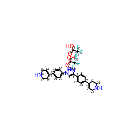 C1=C(c2ccc(-c3cn(-c4ccc(C5=CCNCC5)cc4)nn3)cc2)CCNC1.O=C(O)C(F)(F)F.O=C(O)C(F)(F)F